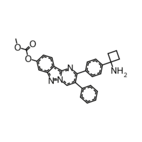 COC(=O)Oc1ccc2c(c1)nn1cc(-c3ccccc3)c(-c3ccc(C4(N)CCC4)cc3)nc21